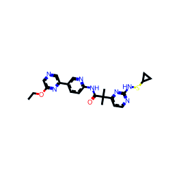 CCOc1cncc(-c2ccc(NC(=O)C(C)(C)c3ccnc(NSC4CC4)n3)nc2)n1